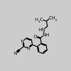 CC(C)CNNC(=O)c1ccccc1-c1ccnc(C#N)n1